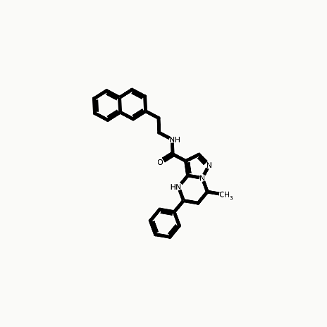 CC1CC(c2ccccc2)Nc2c(C(=O)NCCc3ccc4ccccc4c3)cnn21